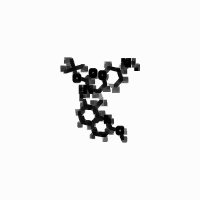 COc1ccc2ccc(F)c(C[C@H](NC(=O)OC(C)(C)C)[C@H]3CC[C@@H](N)CO3)c2n1